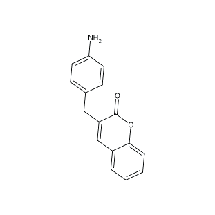 Nc1ccc(Cc2cc3ccccc3oc2=O)cc1